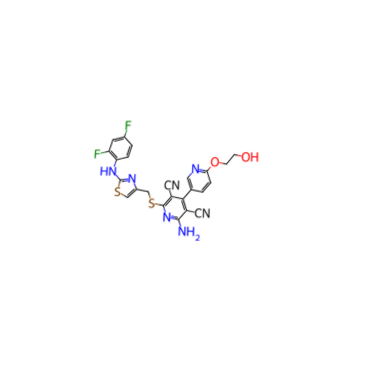 N#Cc1c(N)nc(SCc2csc(Nc3ccc(F)cc3F)n2)c(C#N)c1-c1ccc(OCCO)nc1